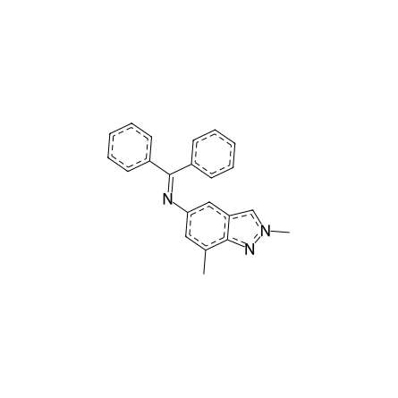 Cc1cc(N=C(c2ccccc2)c2ccccc2)cc2cn(C)nc12